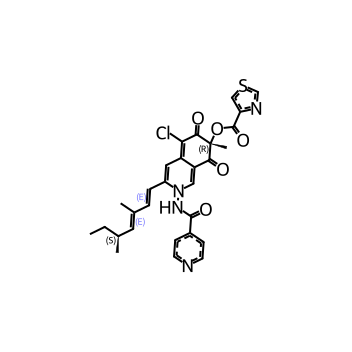 CC[C@H](C)/C=C(C)/C=C/C1=CC2=C(Cl)C(=O)[C@](C)(OC(=O)c3cscn3)C(=O)C2=CN1NC(=O)c1ccncc1